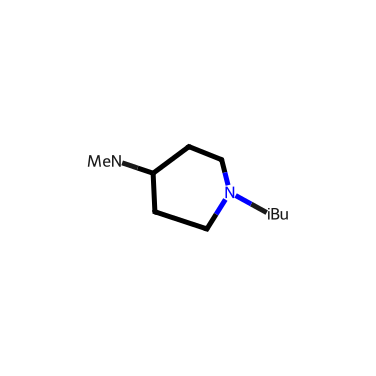 CCC(C)N1CCC(NC)CC1